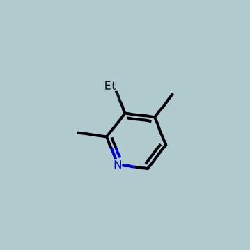 CCc1c(C)ccnc1C